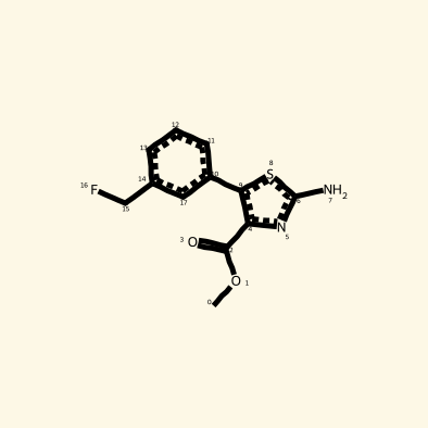 COC(=O)c1nc(N)sc1-c1cccc(CF)c1